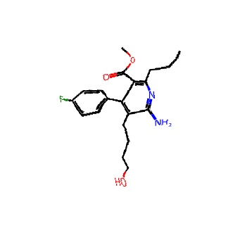 CCCc1nc(N)c(CCCCO)c(-c2ccc(F)cc2)c1C(=O)OC